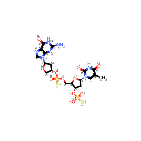 Cc1cn([C@H]2C[C@H](OP(=O)(O)S)[C@@H](COP(=O)(S)O[C@@H]3COC(n4cnc5c(=O)[nH]c(N)nc54)C3)O2)c(=O)[nH]c1=O